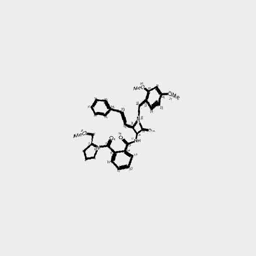 COC[C@@H]1CCCN1C(=O)c1ccccc1C(=O)NC1C(=O)N(Cc2ccc(OC)cc2OC)C1C=Cc1ccccc1